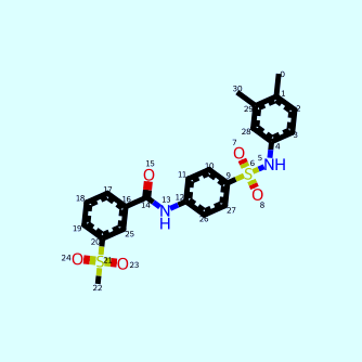 Cc1ccc(NS(=O)(=O)c2ccc(NC(=O)c3cccc(S(C)(=O)=O)c3)cc2)cc1C